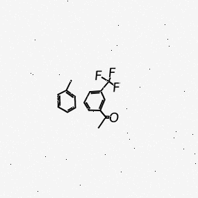 CC(=O)c1cccc(C(F)(F)F)c1.Cc1ccccc1